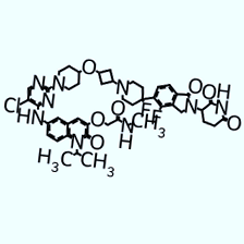 CNC(=O)COc1cc2cc(Nc3nc(N4CCC(OC5CC(N6CCC(F)(c7ccc8c(c7F)CN(C7CCC(=O)NC7=O)C8=O)CC6)C5)CC4)ncc3Cl)ccc2n(C(C)C)c1=O